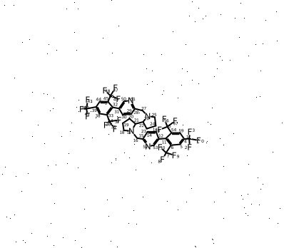 FC(F)(F)c1cc(C(F)(F)F)c(-c2ccc(CN3CCCC3C3CCCN3Cc3ccc(-c4c(C(F)(F)F)cc(C(F)(F)F)cc4C(F)(F)F)cn3)nc2)c(C(F)(F)F)c1